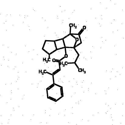 C/C(=C\C(=O)OC12C3C(C)CCC3C1C1(C)OC2(CC(C)C)CC1=O)c1ccccc1